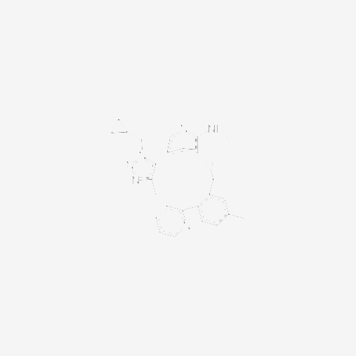 Cc1ccc2c(c1)[C@@H](C)Oc1cc(cnc1N)-c1c(nnn1CC1CC1)Cc1cccnc1-2